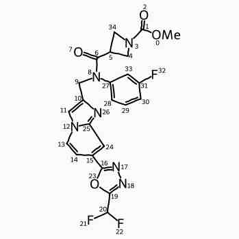 COC(=O)N1CC(C(=O)N(Cc2cn3ccc(-c4nnc(C(F)F)o4)cc3n2)c2cccc(F)c2)C1